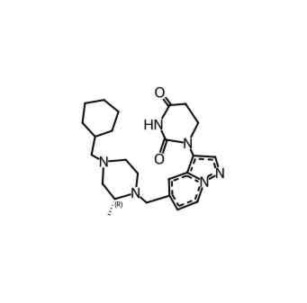 C[C@@H]1CN(CC2CCCCC2)CCN1Cc1ccn2ncc(N3CCC(=O)NC3=O)c2c1